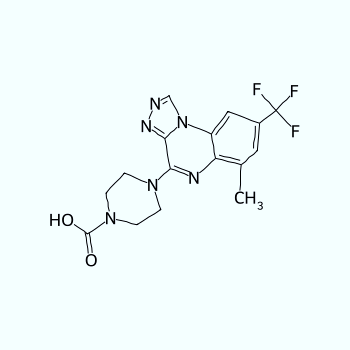 Cc1cc(C(F)(F)F)cc2c1nc(N1CCN(C(=O)O)CC1)c1nncn12